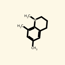 Cc1cc(C)c2c(c1)CCCN2C